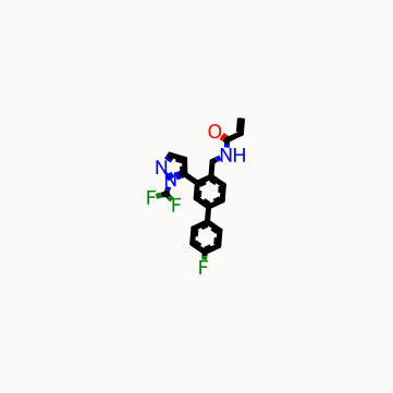 C=CC(=O)NCc1ccc(-c2ccc(F)cc2)cc1-c1ccnn1C(F)F